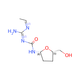 C/C=N\C(N)=N/C(=O)N[C@H]1CC[C@@H](CO)O1